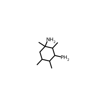 CC1CC(C)(N)C(C)C(P)C1C